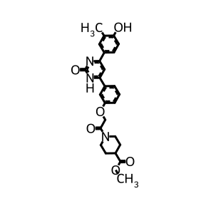 COC(=O)C1CCN(C(=O)COc2cccc(-c3cc(-c4ccc(O)c(C)c4)nc(=O)[nH]3)c2)CC1